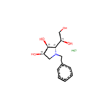 Cl.OC[C@@H](O)[C@H]1[C@H](O)[C@H](O)CN1Cc1ccccc1